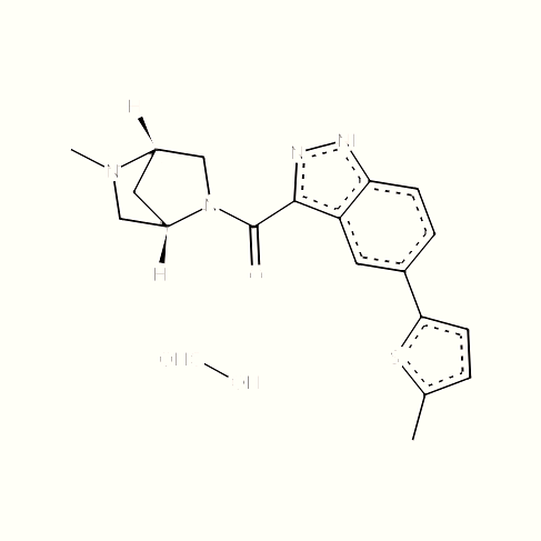 Cc1ccc(-c2ccc3[nH]nc(C(=O)N4C[C@@H]5C[C@H]4CN5C)c3c2)s1.O=CO